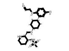 CS(=O)(=O)N[C@H]1CCCN[C@H]1CO[C@H]1CC[C@@H](c2cc(Cl)ccc2OCC=O)CC1